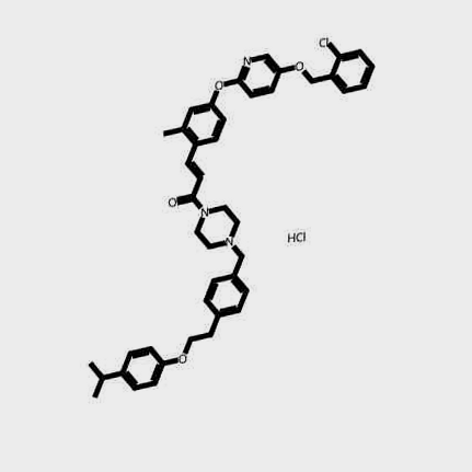 Cc1cc(Oc2ccc(OCc3ccccc3Cl)cn2)ccc1/C=C/C(=O)N1CCN(Cc2ccc(CCOc3ccc(C(C)C)cc3)cc2)CC1.Cl